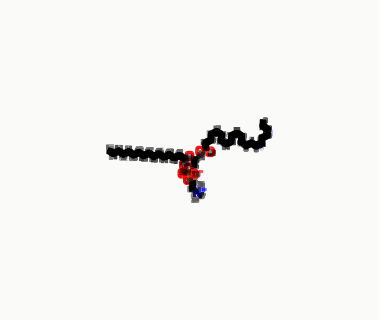 CC/C=C\C/C=C\C/C=C\C/C=C\C/C=C\C/C=C\CCC(=O)OC[C@H](COP(=O)([O-])OCC[N+](C)(C)C)OC(=O)CCCCCCCCCCCCCCC